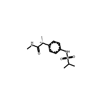 CNC(=O)[C@H](C)c1ccc(NS(=O)(=O)C(C)C)cc1